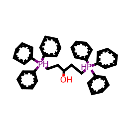 OC(CC[PH](c1ccccc1)(c1ccccc1)c1ccccc1)CC[PH](c1ccccc1)(c1ccccc1)c1ccccc1